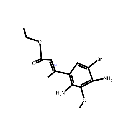 CCOC(=O)/C=C(\C)c1cc(Br)c(N)c(OC)c1N